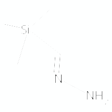 C[Si](C)(C)C=NN